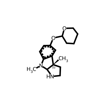 CN1c2ccc(OC3CCCCO3)cc2[C@]2(C)CCNC12